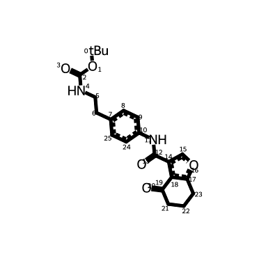 CC(C)(C)OC(=O)NCCc1ccc(NC(=O)c2coc3c2C(=O)CCC3)cc1